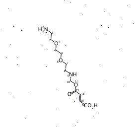 NCCOCCOCCNCOC(=O)/C=C/C(=O)O